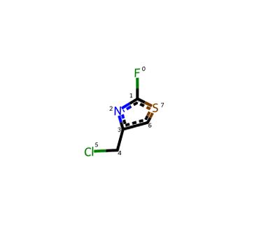 Fc1nc(CCl)cs1